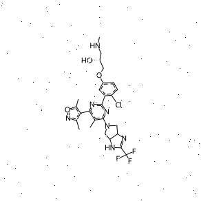 CNC[C@@H](O)COc1ccc(Cl)c(-c2nc(-c3c(C)noc3C)c(C)c(N3CC4N=C(C(F)(F)F)NC4C3)n2)c1